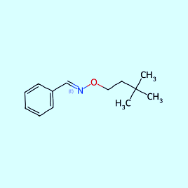 CC(C)(C)CCO/N=C/c1ccccc1